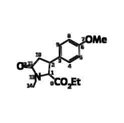 CCOC(=O)C1C(c2ccc(OC)cc2)CC(=O)N1C